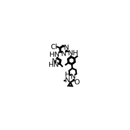 CNC1(C(=O)N2CCC(c3cc(C)c(Nc4ncc(Cl)c(Nc5cc(C)[nH]n5)n4)cc3C)CC2)CC1